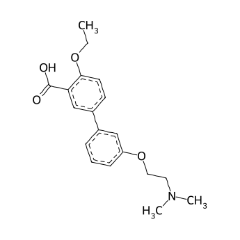 CCOc1ccc(-c2cccc(OCCN(C)C)c2)cc1C(=O)O